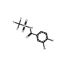 O=C(NS(=O)(=O)C(F)(F)F)c1ccc(F)c(Br)c1